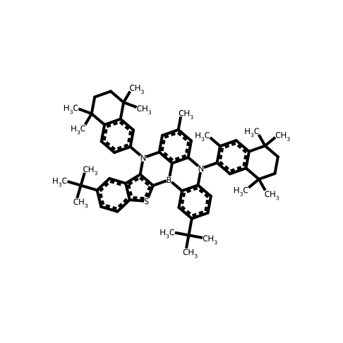 Cc1cc2c3c(c1)N(c1ccc4c(c1)C(C)(C)CCC4(C)C)c1c(sc4ccc(C(C)(C)C)cc14)B3c1cc(C(C)(C)C)ccc1N2c1cc2c(cc1C)C(C)(C)CCC2(C)C